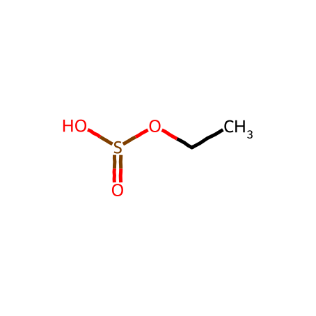 CCOS(=O)O